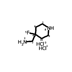 Cl.Cl.NCC1(F)CCNCC1